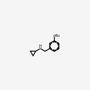 CCCCc1cccc(CNC2CC2)c1